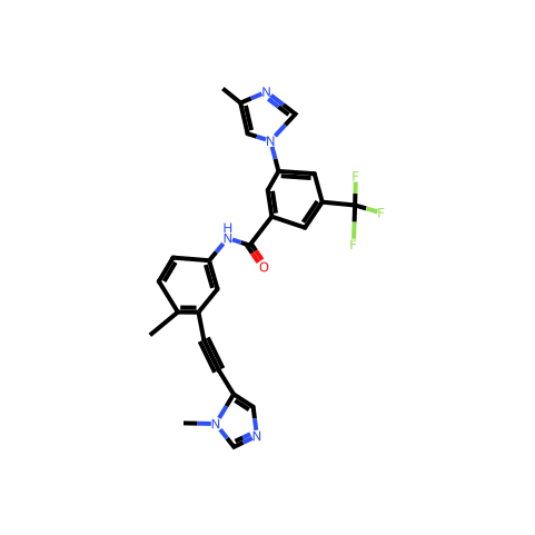 Cc1cn(-c2cc(C(=O)Nc3ccc(C)c(C#Cc4cncn4C)c3)cc(C(F)(F)F)c2)cn1